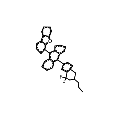 CCCC1Cc2ccc(-c3c4ccccc4c(-c4cccc5c4oc4ccccc45)c4ccccc34)cc2C(F)(F)C1